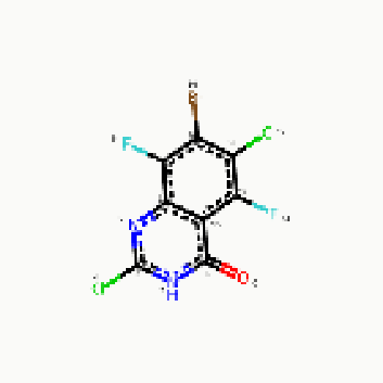 O=c1[nH]c(Cl)nc2c(F)c(Br)c(Cl)c(F)c12